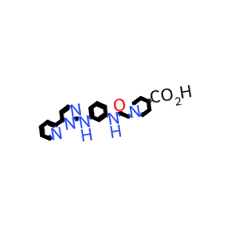 O=C(CN1CCC(C(=O)O)CC1)Nc1cccc(Nc2nccc(-c3ccccn3)n2)c1